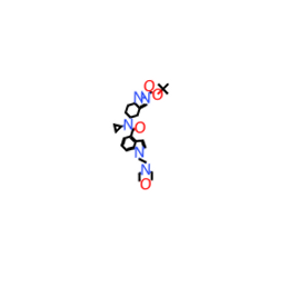 CC(C)(C)OC(=O)n1cc2c(n1)CCC(N(C(=O)c1cccc3c1ccn3CCN1CCOCC1)C1CC1)C2